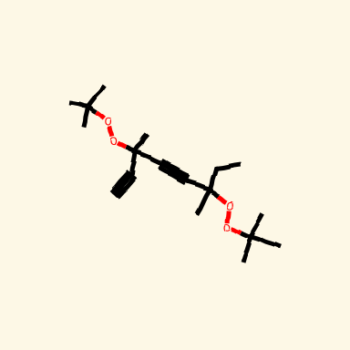 C#CC(C)(C#CC(C)(CC)OOC(C)(C)C)OOC(C)(C)C